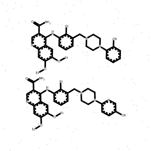 CCOc1cc2ncc(C(N)=O)c(Nc3cccc(CN4CCN(c5ccc(C#N)cn5)CC4)c3CC)c2cc1OCC.CCOc1cc2ncc(C(N)=O)c(Nc3cccc(CN4CCN(c5ccccc5C#N)CC4)c3CC)c2cc1OCC